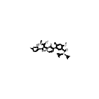 CNC(=O)c1c(-c2ccc(F)cc2)nn2ccc(-c3cc(C(=O)N(C4CC4)C4CC4)c(OC)cc3C)c(F)c12